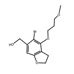 COCCCOc1c(Br)c(CO)cc2c1CCO2